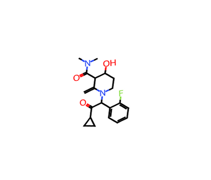 C=C1C(C(=O)N(C)C)C(O)CCN1C(C(=O)C1CC1)c1ccccc1F